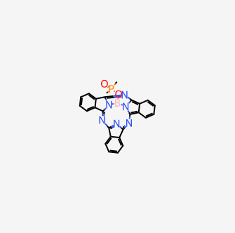 CP(C)(=O)OB1n2c3c4ccccc4c2/N=C2N=C(/N=c4/c5ccccc5c(n41)=N3)c1ccccc1\2